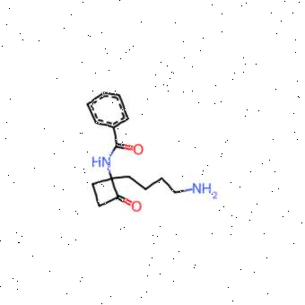 NCCCCC1(NC(=O)c2ccccc2)CCC1=O